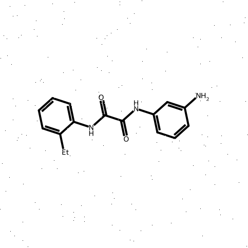 CCc1ccccc1NC(=O)C(=O)Nc1cccc(N)c1